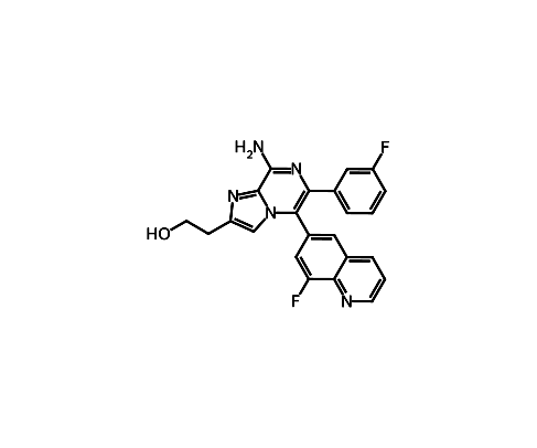 Nc1nc(-c2cccc(F)c2)c(-c2cc(F)c3ncccc3c2)n2cc(CCO)nc12